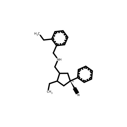 CCc1ccccc1CNCC1C[C@](C#N)(c2ccccc2)CC1CC